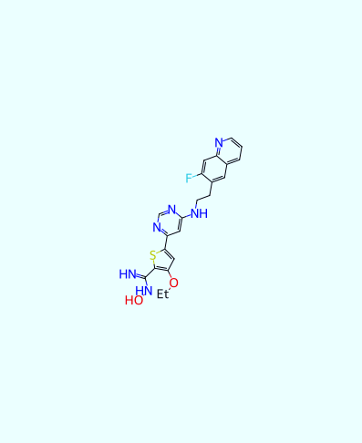 CCOc1cc(-c2cc(NCCc3cc4cccnc4cc3F)ncn2)sc1C(=N)NO